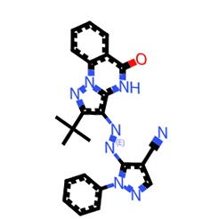 CC(C)(C)c1nn2c([nH]c(=O)c3ccccc32)c1/N=N/c1c(C#N)cnn1-c1ccccc1